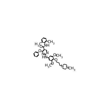 COc1cc(Nc2ncc(C(=O)Nc3c(C)cccc3C)c(Oc3ccccc3)n2)cc(OC)c1OCCCN1CCN(C)CC1